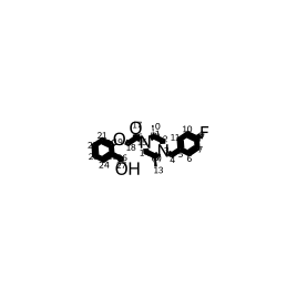 C[C@@H]1CN(Cc2ccc(F)cc2)[C@@H](C)CN1C(=O)COc1ccccc1CO